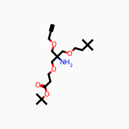 C#CCOCC(N)(COCCC(=O)OC(C)(C)C)COCCC(C)(C)C